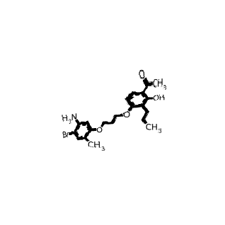 CCCc1c(OCCCOc2cc(N)c(Br)cc2C)ccc(C(C)=O)c1O